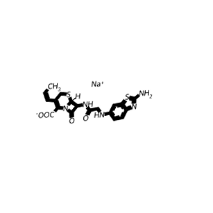 C/C=C\C1=C(C(=O)[O-])N2C(=O)C(NC(=O)CNc3ccc4nc(N)sc4c3)[C@@H]2SC1.[Na+]